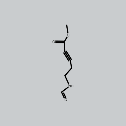 COC(=O)C#CCCN[C]=O